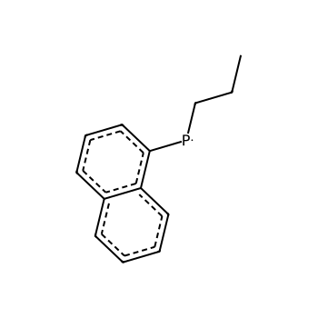 CCC[P]c1cccc2ccccc12